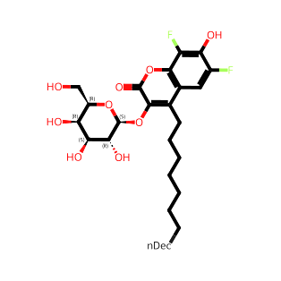 CCCCCCCCCCCCCCCCCc1c(O[C@@H]2O[C@H](CO)[C@H](O)[C@H](O)[C@H]2O)c(=O)oc2c(F)c(O)c(F)cc12